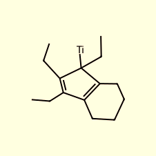 CCC1=C(CC)[C]([Ti])(CC)C2=C1CCCC2